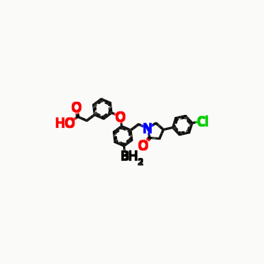 Bc1ccc(Oc2cccc(CC(=O)O)c2)c(CN2CC(c3ccc(Cl)cc3)CC2=O)c1